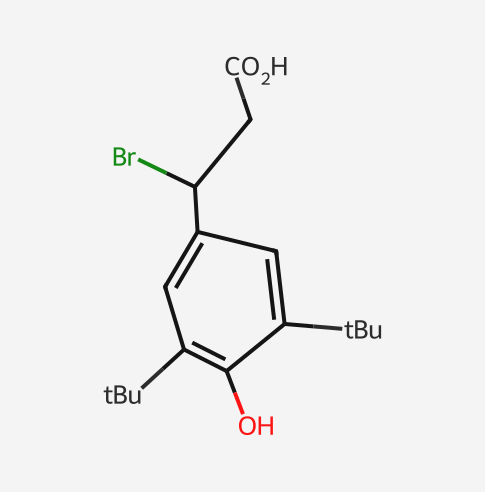 CC(C)(C)c1cc(C(Br)CC(=O)O)cc(C(C)(C)C)c1O